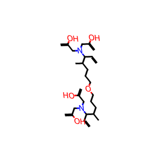 C=CC(C(C)CCCOCCCC(C)C(C=C)N(CC(=C)O)CC(=C)O)N(CC(=C)O)CC(=C)O